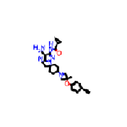 C#Cc1ccc(OC2(C)CN(C3CCC(CC#N)(n4cc(CN)c(NC(=O)C5CC5)n4)CC3)C2)cc1